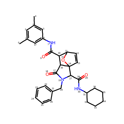 Cc1cc(C)cc(NC(=O)C2C3C=CC4(O3)C2C(=O)N(Cc2ccccc2)C4C(=O)NC2CCCCC2)c1